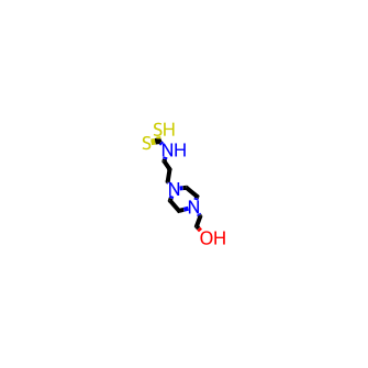 OCCN1CCN(CCCNC(=S)S)CC1